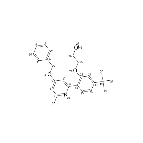 Cc1cc(OCc2ccccc2)cc(-c2ccc(C(C)(C)C)cc2OCCO)n1